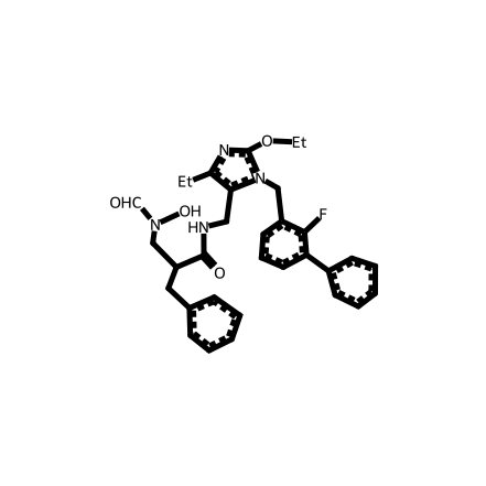 CCOc1nc(CC)c(CNC(=O)C(Cc2ccccc2)CN(O)C=O)n1Cc1cccc(-c2ccccc2)c1F